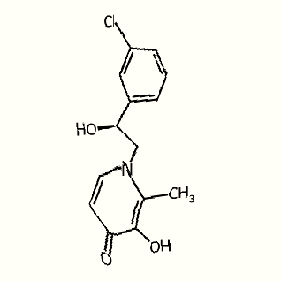 Cc1c(O)c(=O)ccn1C[C@@H](O)c1cccc(Cl)c1